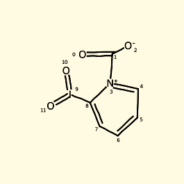 O=C([O-])[n+]1ccccc1I(=O)=O